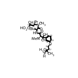 CN[C@H](C(=O)NC(C(=O)N(C)[C@H](/C=C(\C)C(=O)O)C(C)C)C(C)(C)C)C(C)(C)c1cccc(OCCC(C)(C)S)c1